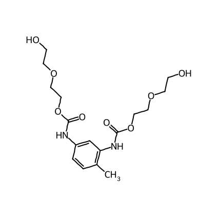 Cc1ccc(NC(=O)OCCOCCO)cc1NC(=O)OCCOCCO